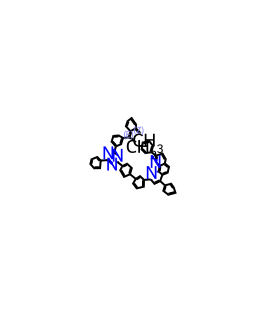 C=C/C(c1cccc(-c2nc(-c3ccccc3)nc(-c3ccc(-c4cccc(-c5cc(-c6ccccc6)c6ccc7ccc(-c8ccccc8)nc7c6n5)c4)cc3)n2)c1)=c1/cccc/c1=C/C